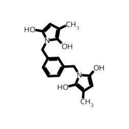 Cc1cc(O)n(Cc2cccc(Cn3c(O)cc(C)c3O)c2)c1O